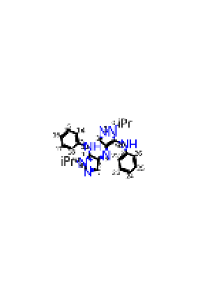 CC(C)n1ncc(/N=C2/C=N[N+](C(C)C)=C2Nc2ccccc2)c1Nc1ccccc1